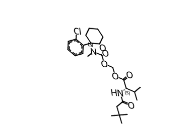 CC(C)[C@H](NC(=O)CC(C)(C)C)C(=O)OCOC(=O)N(C)[C@]1(c2ccccc2Cl)CCCCC1=O